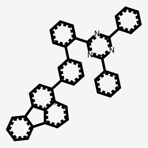 c1ccc(-c2nc(-c3ccccc3)nc(-c3ccccc3-c3cccc(-c4ccc5c6c(cccc46)-c4ccccc4-5)c3)n2)cc1